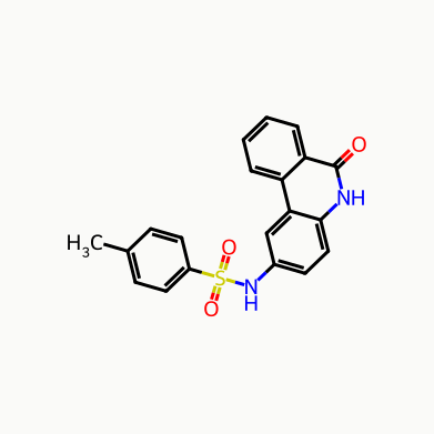 Cc1ccc(S(=O)(=O)Nc2ccc3[nH]c(=O)c4ccccc4c3c2)cc1